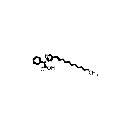 CCCCCCCCCCC=Cc1cnn(C(C(=O)O)c2ccccc2)c1